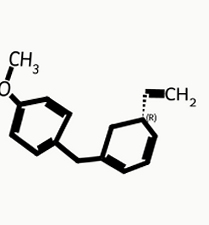 C=C[C@@H]1C=CC=C(Cc2ccc(OC)cc2)C1